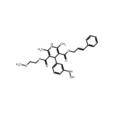 COCCOC(=O)C1=C(C)NC(C)=C(C(=O)OC/C=C/c2ccccc2)C1c1cccc(NO)c1